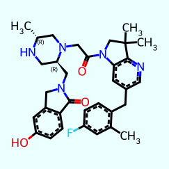 Cc1cc(F)ccc1Cc1cnc2c(c1)N(C(=O)CN1C[C@@H](C)NC[C@@H]1CN1Cc3cc(O)ccc3C1=O)CC2(C)C